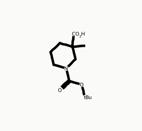 CC(C)(C)OC(=O)N1CCCC(C)(C(=O)O)C1